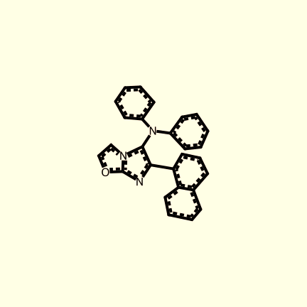 c1ccc(N(c2ccccc2)c2c(-c3cccc4ccccc34)nc3occn23)cc1